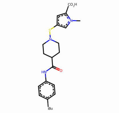 CCC(C)c1ccc(NC(=O)C2CCN(Sc3cc(C(=O)O)n(C)c3)CC2)cc1